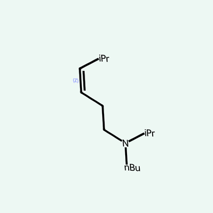 CCCCN(CC/C=C\C(C)C)C(C)C